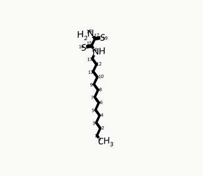 CCCCCCCCCCCCCCNC(=S)C(N)=S